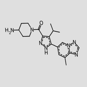 Cc1cc(-c2[nH]nc(C(=O)N3CCC(N)CC3)c2C(C)C)cn2ncnc12